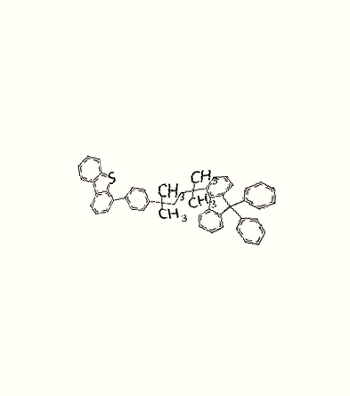 CC(C)(CCC(C)(C)c1cccc2c1-c1ccccc1C2(c1ccccc1)c1ccccc1)c1ccc(-c2cccc3c2sc2ccccc23)cc1